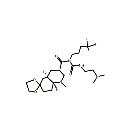 CN(C)CCNC(=O)N(CCCC(F)(F)F)C(=O)[C@@H]1C[C@@H]2CC3(CC[C@H]2N(C)C1)OCCO3